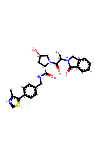 Cc1ncsc1-c1ccc(CNC(=O)[C@@H]2C[C@@H](O)CN2C(=O)C(C(C)C)N2Cc3ccccc3C2=O)cc1